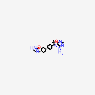 Cc1nc(N)c2c(n1)OC(C)(C)C(c1ccc([C@H]3CC[C@H](CN4CCNC4=O)CC3)cc1)=N2